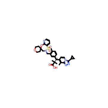 Cc1ccc([C@@H](c2ccn3c(C4CC4)nnc3c2C)C(C)(C)C(=O)O)cc1CN1CC2(CCOCC2)Oc2ncccc2S1(=O)=O